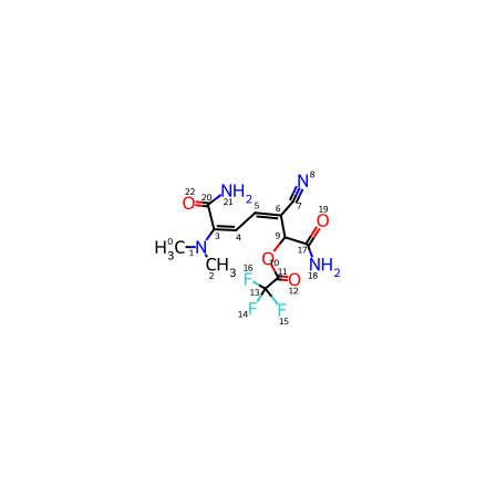 CN(C)C(=CC=C(C#N)C(OC(=O)C(F)(F)F)C(N)=O)C(N)=O